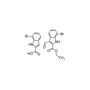 CCOC(=O)c1[nH]c2c(Br)cccc2c1C=O.O=C(O)c1cc2cccc(Br)c2[nH]1